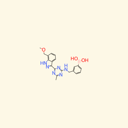 COCc1cccc2c(-c3nc(C)nc(NCc4cccc(B(O)O)c4)n3)n[nH]c12